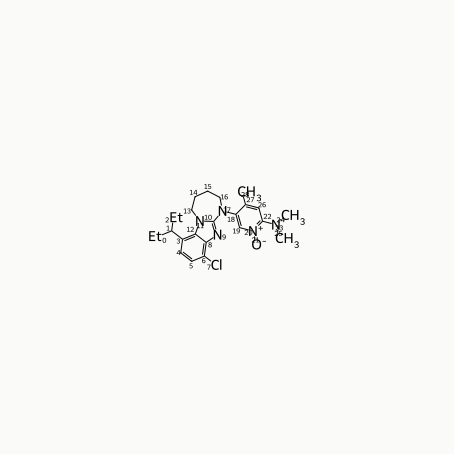 CCC(CC)c1ccc(Cl)c2nc3n(c12)CCCCN3c1c[n+]([O-])c(N(C)C)cc1C